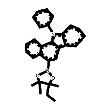 CCC1(C)OB(c2cc3c4ccccc4n(-c4ccccc4)c3c3ccccc23)OC1(C)C